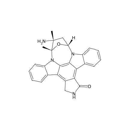 C[C@@]1(N)C[C@H]2O[C@]1(C)n1c3ccccc3c3c4c(c5c6ccccc6n2c5c31)C(=O)NC4